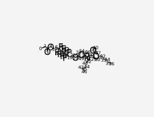 C=CC(=O)OCCC(F)(F)C(F)(F)C(F)(F)C(F)(F)CCOc1ccc2cc(-c3ccc(CCCCC)cc3OC)n(CCCC(C)C)c2c1